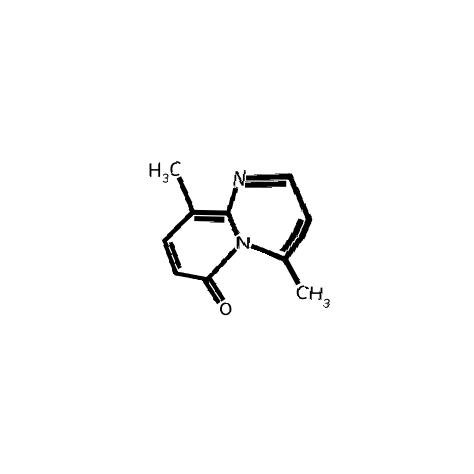 Cc1ccc(=O)n2c(C)ccnc12